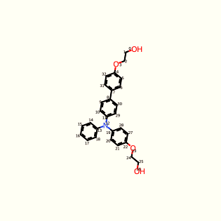 OCCOc1ccc(-c2ccc(N(c3ccccc3)c3ccc(OCCO)cc3)cc2)cc1